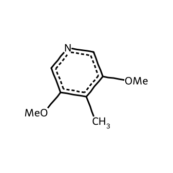 COc1cncc(OC)c1C